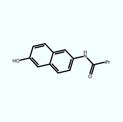 CC(C)C(=O)Nc1ccc2cc(O)ccc2c1